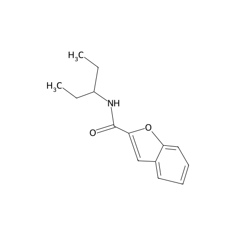 CCC(CC)NC(=O)c1cc2ccccc2o1